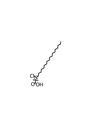 CCCCCCCCCCCCCCCCCCN(Cl)C(C)(C)C(=O)O